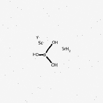 OB(O)O.[Sc].[SrH2].[Y]